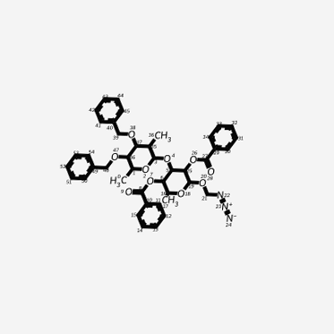 CC1OC(OC2C(OC(=O)c3ccccc3)C(C)OC(OCN=[N+]=[N-])C2OC(=O)c2ccccc2)C(C)C(OCc2ccccc2)C1OCc1ccccc1